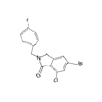 O=C1c2c(Cl)cc(Br)cc2CN1Cc1ccc(F)cc1